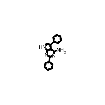 Nc1nc(-c2ccccc2)nc2[nH]cc(-c3ccccc3)c12